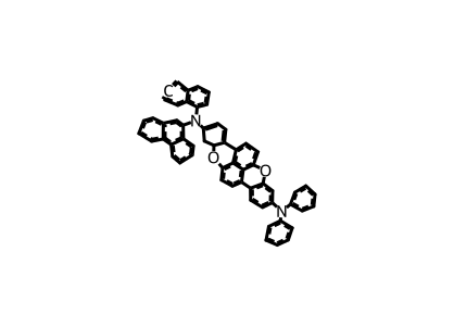 C1=C2c3ccc4c5c(ccc(c35)OC2CC(N(c2cccc3ccccc23)c2cc3ccccc3c3ccccc23)=C1)-c1ccc(N(c2ccccc2)c2ccccc2)cc1O4